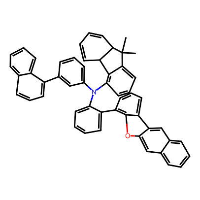 CC1(C)c2cccc(N(c3cccc(-c4cccc5ccccc45)c3)c3ccccc3-c3cccc4c3oc3cc5ccccc5cc34)c2C2C=CC=CC21